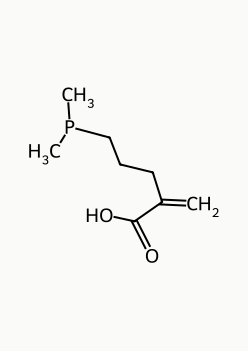 C=C(CCCP(C)C)C(=O)O